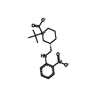 CC(C)(C)[N+]1(C(=O)[O-])CCC[C@H](CNc2ccccc2[N+](=O)[O-])C1